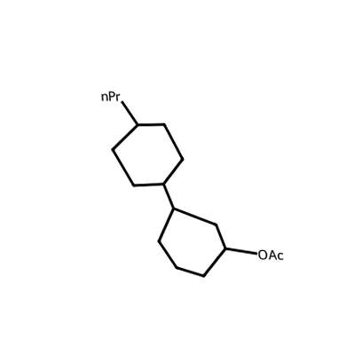 CCCC1CCC(C2CCCC(OC(C)=O)C2)CC1